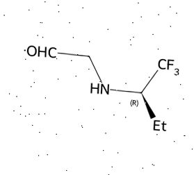 CC[C@@H](NC[C]=O)C(F)(F)F